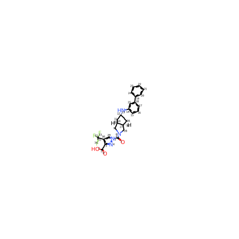 O=C(O)c1nn(C(=O)N2C[C@H]3C[C@H](Nc4cccc(-c5ccccc5)c4)C[C@H]3C2)cc1C(F)(F)F